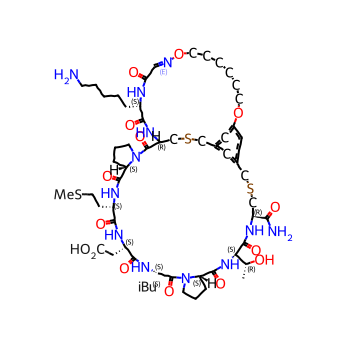 CC[C@H](C)[C@@H]1NC(=O)[C@H](CC(=O)O)NC(=O)[C@H](CCSC)NC(=O)[C@@H]2CCCN2C(=O)[C@@H]2CSCc3cc(cc(c3)OCCCCCCO/N=C/C(=O)N[C@@H](CCCCCN)C(=O)N2)CSC[C@@H](C(N)=O)NC(=O)[C@H]([C@@H](C)O)NC(=O)[C@@H]2CCCN2C1=O